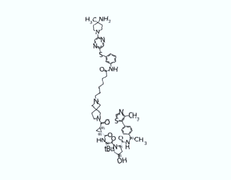 Cc1ncsc1-c1ccc([C@H](C)NC(=O)[C@@H]2C[C@@H](O)CN2C(=O)[C@@H](NC(=O)[C@@H]2C[C@H]2C(=O)N2CCC3(CN(CCCCCCC(=O)Nc4cccc(Sc5cnc(N6CCC(C)(N)CC6)cn5)c4)C3)C2)C(C)(C)C)cc1